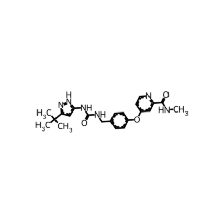 CNC(=O)c1cc(Oc2ccc(CNC(=O)Nc3cc(C(C)(C)C)n[nH]3)cc2)ccn1